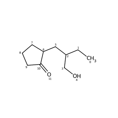 CCC(CO)CC1CCCC1=O